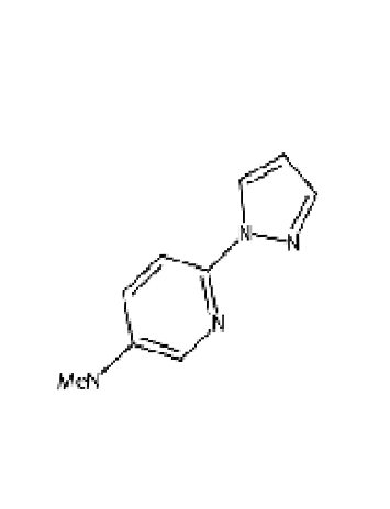 CNc1ccc(-n2cccn2)nc1